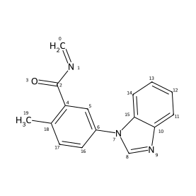 C=NC(=O)c1cc(-n2cnc3ccccc32)ccc1C